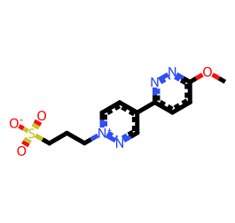 COc1ccc(-c2cc[n+](CCCS(=O)(=O)[O-])nc2)nn1